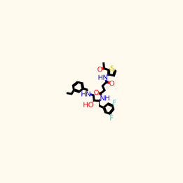 CCc1cccc(CNC[C@@H](O)[C@H](Cc2cc(F)cc(F)c2)NC(=O)CCC(=O)Nc2ccsc2C(C)=O)c1